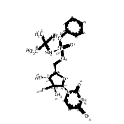 CC(C)C(C)(N[P@](=O)(OC[C@H]1O[C@@H](n2ccc(=O)[nH]c2=O)[C@](C)(F)[C@@H]1O)Oc1ccccc1)C(=O)O